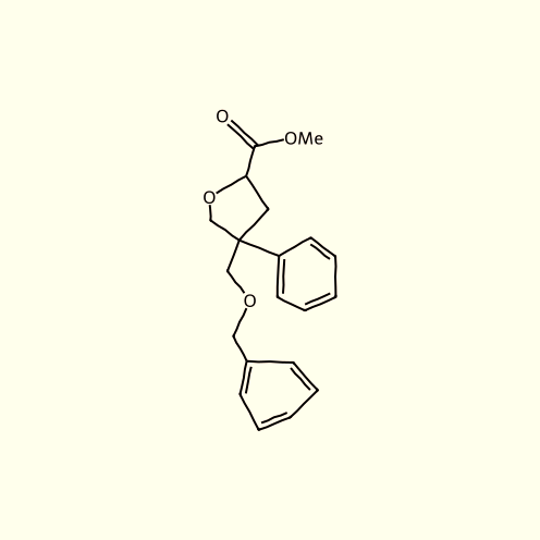 COC(=O)C1CC(COCc2ccccc2)(c2ccccc2)CO1